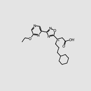 CCOc1cncc(-c2noc([C@H](CCCC3CCCCC3)CC(=O)O)n2)n1